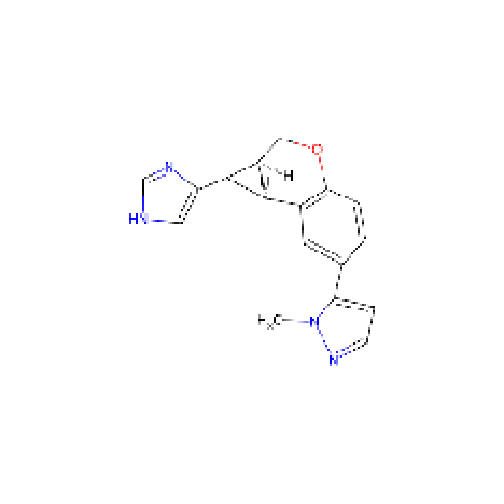 Cn1nccc1-c1ccc2c(c1)[C@H]1C(c3c[nH]cn3)[C@H]1CO2